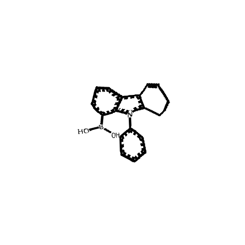 OB(O)c1cccc2c3c(n(-c4ccccc4)c12)CCC=C3